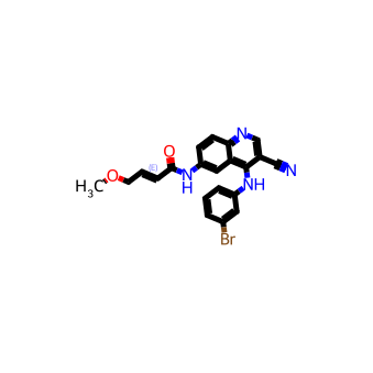 COC/C=C/C(=O)Nc1ccc2ncc(C#N)c(Nc3cccc(Br)c3)c2c1